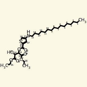 CCCCCCCCCCCCCCCCNc1csc(C(=O)OC(C(=O)OCC)C(O)C(=O)OCC)c1